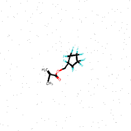 C=C(C)C(=O)OCC1(F)C(F)C(F)(F)C(F)(F)C1(F)F